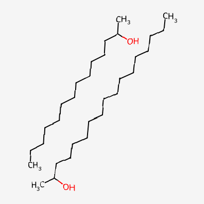 CCCCCCCCCCCCC(C)O.CCCCCCCCCCCCCCCC(C)O